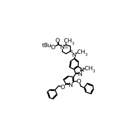 C[C@H]1C[C@H](N(C)c2ccc3c(-c4ccc(OCc5ccccc5)nc4OCc4ccccc4)nn(C)c3c2)CCN1C(=O)OC(C)(C)C